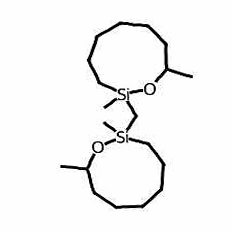 CC1CCCCCC[Si](C)(C[Si]2(C)CCCCCCC(C)O2)O1